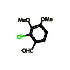 COc1ccc([C]=O)c(Cl)c1OC